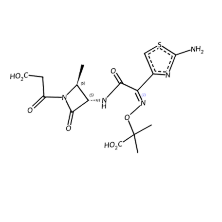 C[C@H]1[C@H](NC(=O)/C(=N\OC(C)(C)C(=O)O)c2csc(N)n2)C(=O)N1C(=O)CC(=O)O